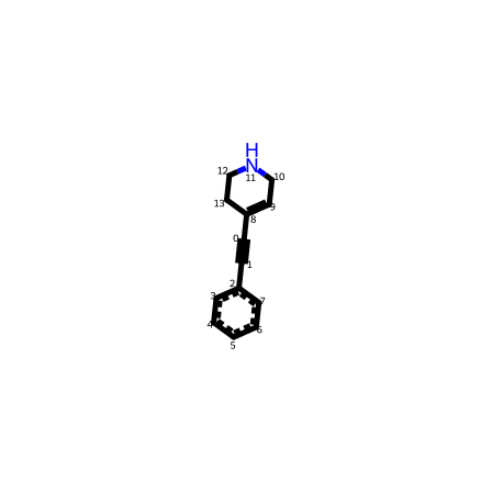 C(#Cc1ccccc1)C1=CCNCC1